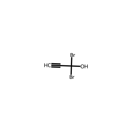 C#CC(O)(Br)Br